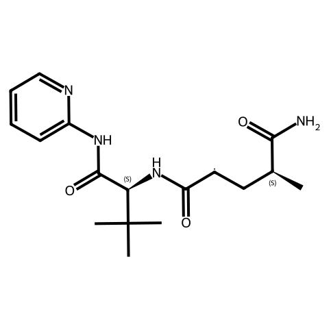 C[C@@H](C[CH]C(=O)N[C@H](C(=O)Nc1ccccn1)C(C)(C)C)C(N)=O